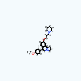 FC(F)(F)Oc1ccc(-c2c[n+]3c(c4cc(OCCCN5CCCCC5)ccc24)CCC3)cc1